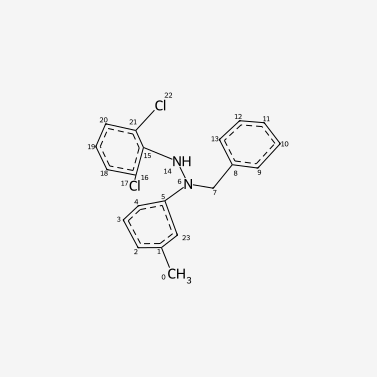 Cc1cccc(N(Cc2ccccc2)Nc2c(Cl)cccc2Cl)c1